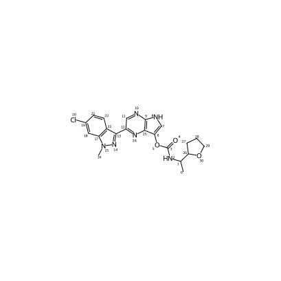 CC(NC(=O)Oc1c[nH]c2ncc(-c3nn(C)c4cc(Cl)ccc34)nc12)C1CCCO1